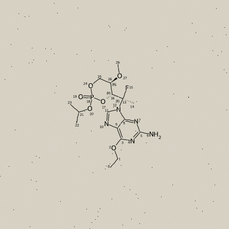 CCOc1nc(N)nc2c1ncn2[C@](C)(F)[C@@H]1OP(=O)(OC(C)C)OC[C@H]1OC